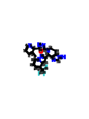 Cc1cccnc1-c1nnc(N2CCc3[nH]cnc3[C@H]2c2cc3c(C(F)(F)F)cccn3n2)o1